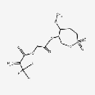 C=C(C(=O)OCC(=O)OC1COS(=O)(=O)CCC1OC)C(F)(F)F